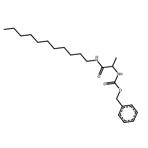 CCCCCCCCCCCNC(=O)C(C)NC(=O)OCc1ccccc1